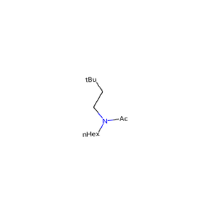 CCCCCCN(CCC(C)(C)C)C(C)=O